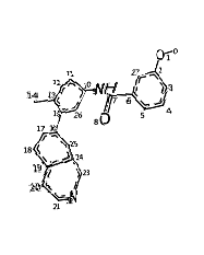 COc1cccc(C(=O)Nc2ccc(C)c(-c3ccc4ccncc4c3)c2)c1